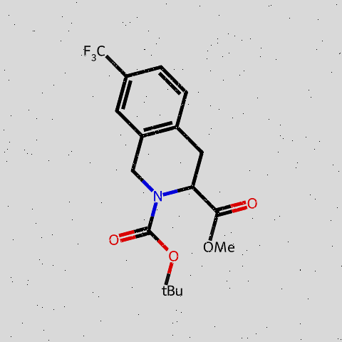 COC(=O)C1Cc2ccc(C(F)(F)F)cc2CN1C(=O)OC(C)(C)C